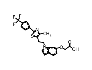 Cc1nc(-c2ccc(C(F)(F)F)cc2)sc1CCn1ccc2ccc(OCC(=O)O)cc21